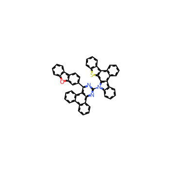 c1ccc2c(c1)oc1cc(-c3nc(-n4c5ccccc5c5c6ccccc6c6c7ccccc7sc6c54)nc4c5ccccc5c5ccccc5c34)ccc12